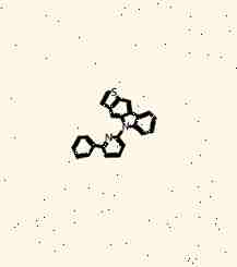 c1ccc(-c2cccc(-n3c4ccccc4c4cc5sccc5cc43)n2)cc1